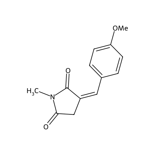 COc1ccc(C=C2CC(=O)N(C)C2=O)cc1